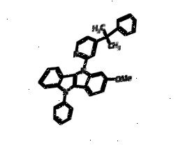 COc1ccc2c(c1)n(-c1cc(C(C)(C)c3ccccc3)ccn1)c1c3ccccc3n(-c3ccccc3)c21